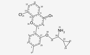 Cc1ccc(-c2cc(=O)c3cccc(Cl)c3o2)c(OCC(N)C2CC2)c1